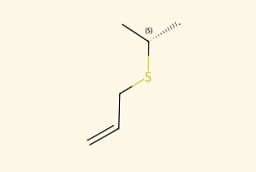 [CH2][C@@H](C)SCC=C